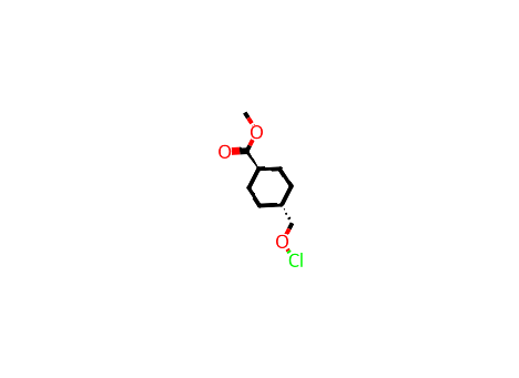 COC(=O)[C@H]1CC[C@H](COCl)CC1